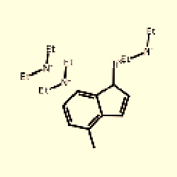 CC[N-]CC.CC[N-]CC.CC[N-]CC.Cc1cccc2c1C=C[CH]2[Ti+3]